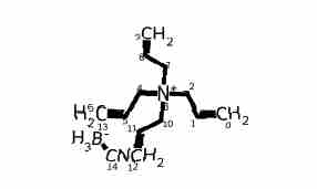 C=CC[N+](CC=C)(CC=C)CC=C.[BH3-]C#N